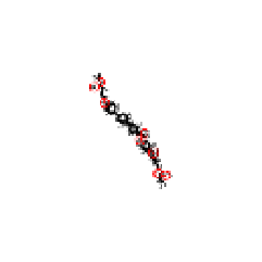 C=COC(=O)CCCOc1ccc(-c2ccc(-c3ccc(C(=O)Oc4ccc(OCCCCOC(=O)C=C)cc4)cc3)cc2)cc1